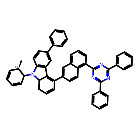 C[C@@H]1C=CC=CC1N1c2ccc(-c3ccccc3)cc2C2=C(c3ccc4c(-c5nc(-c6ccccc6)nc(-c6ccccc6)n5)cccc4c3)C=CCC21